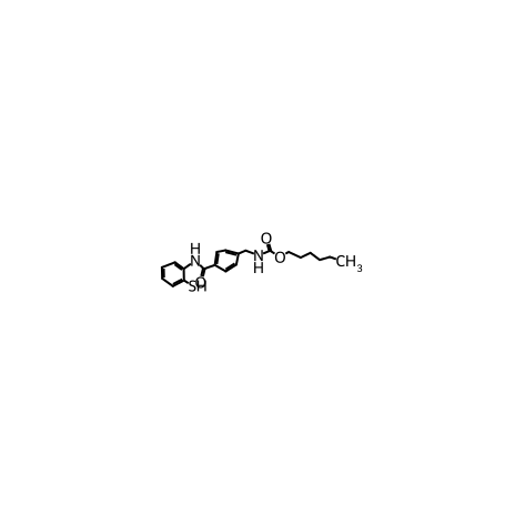 CCCCCCOC(=O)NCc1ccc(C(=O)Nc2ccccc2S)cc1